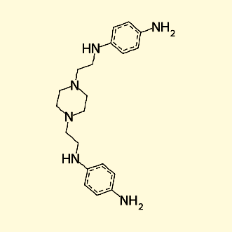 Nc1ccc(NCCN2CCN(CCNc3ccc(N)cc3)CC2)cc1